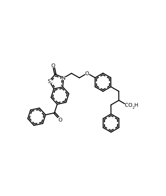 O=C(c1ccccc1)c1ccc2c(c1)sc(=O)n2CCOc1ccc(CC(Cc2ccccc2)C(=O)O)cc1